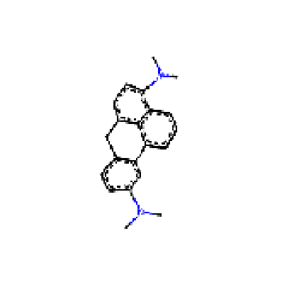 CN(C)c1ccc2c(c1)-c1cccc3c(N(C)C)ccc(c13)C2